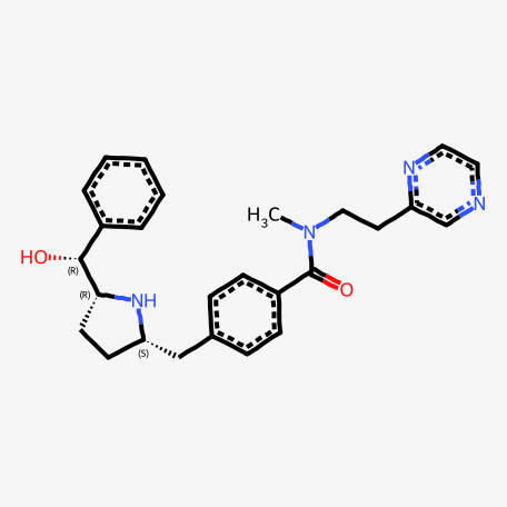 CN(CCc1cnccn1)C(=O)c1ccc(C[C@@H]2CC[C@H]([C@H](O)c3ccccc3)N2)cc1